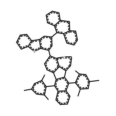 Cc1cc(C)c(-c2c3c(c(-c4c(C)cc(C)cc4C)c4ccccc24)-c2ccc(-c4cc(-c5c6ccccc6cc6ccccc56)cc5c4sc4ccccc45)c4cccc-3c24)c(C)c1